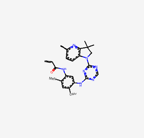 C=CC(=O)Nc1cc(Nc2ncnc(N3CC(C)(C)c4nc(C)ccc43)n2)c(OC)cc1NC